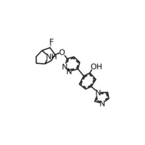 Oc1cc(-n2ccnc2)ccc1-c1ccc(O[C@H]2CC3CCC(N3)[C@@H]2F)nn1